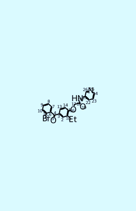 CCc1cc(C(=O)c2ccccc2Br)ccc1OCC(=O)Nc1cccnc1